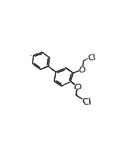 ClCOc1ccc(-c2cc[c]cc2)cc1OCCl